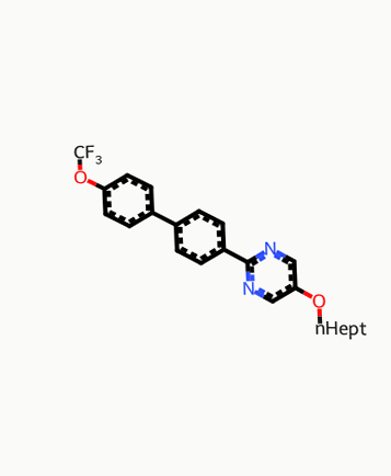 CCCCCCCOc1cnc(-c2ccc(-c3ccc(OC(F)(F)F)cc3)cc2)nc1